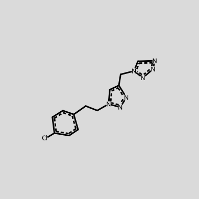 Clc1ccc(CCn2cc(Cn3cnnn3)nn2)cc1